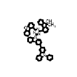 CC1(C)c2ccccc2-c2c(-c3nc(-c4cccc5oc6ccccc6c45)nc(-n4c5ccccc5c5cc(-c6ccc7c(c6)c6ccccc6n7-c6ccccc6)ccc54)n3)cccc21